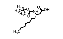 CCCCCCC[C@@H](CC(=O)O)NC(=O)OC(C)(C)C